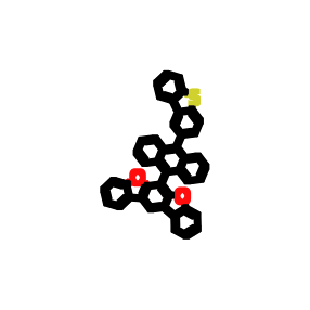 c1ccc2c(c1)oc1c(-c3c4ccccc4c(-c4ccc5sc6ccccc6c5c4)c4ccccc34)c3oc4ccccc4c3cc12